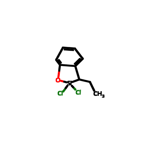 CCC1c2ccccc2O[Si]1(Cl)Cl